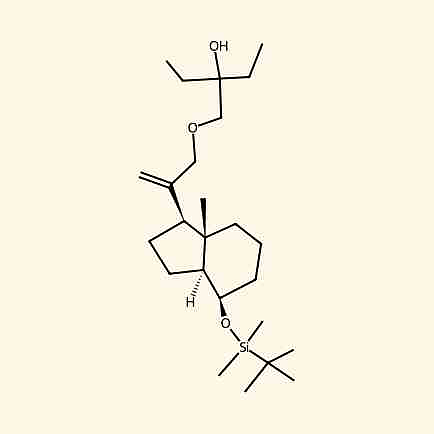 C=C(COCC(O)(CC)CC)[C@@H]1CC[C@@H]2[C@H](O[Si](C)(C)C(C)(C)C)CCC[C@]21C